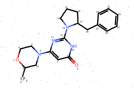 O=c1cc(N2CCOC(C(F)(F)F)C2)nc(N2CCCC2Cc2ccccc2)[nH]1